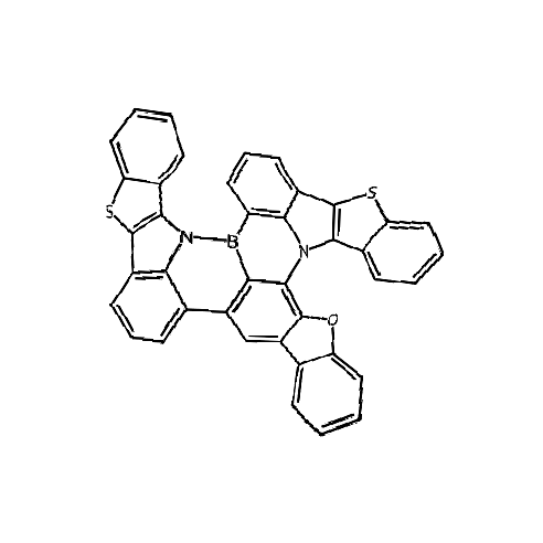 c1ccc2c(c1)oc1c3c4c(cc12)-c1cccc2c5sc6ccccc6c5n(c12)B4c1cccc2c4sc5ccccc5c4n-3c12